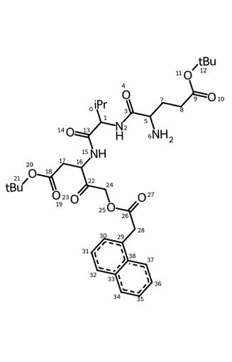 CC(C)C(NC(=O)C(N)CCC(=O)OC(C)(C)C)C(=O)NC(CC(=O)OC(C)(C)C)C(=O)COC(=O)Cc1cccc2ccccc12